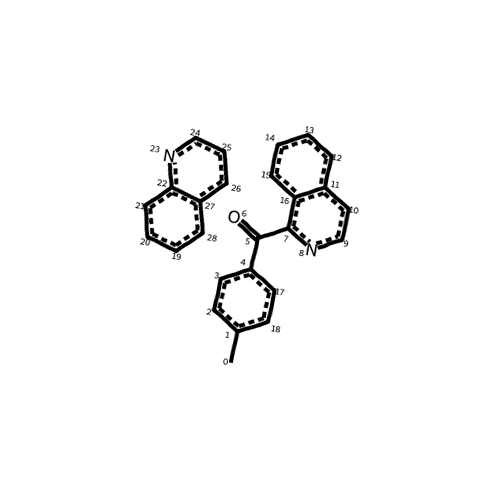 Cc1ccc(C(=O)c2nccc3ccccc23)cc1.c1ccc2ncccc2c1